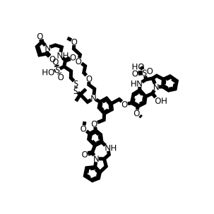 COCCOCCOCCN(CC(C)(C)SSCCC(C(=O)NCCN1C(=O)C=CC1=O)S(=O)(=O)O)c1cc(COc2cc3c(cc2OC)C(=O)N2c4ccccc4CC2CN3)cc(COc2cc3c(cc2OC)C(O)N2c4ccccc4CC2C(S(=O)(=O)O)N3)c1